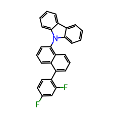 Fc1ccc(-c2cccc3c(-n4c5ccccc5c5ccccc54)cccc23)c(F)c1